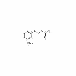 COc1cccc(CCCC(N)=O)c1